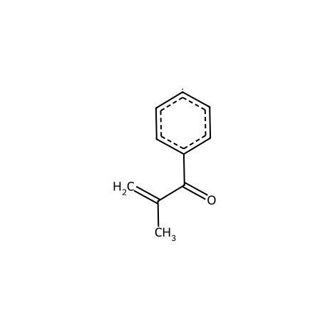 C=C(C)C(=O)c1cc[c]cc1